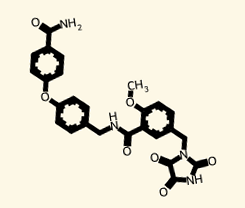 COc1ccc(CN2C(=O)NC(=O)C2=O)cc1C(=O)NCc1ccc(Oc2ccc(C(N)=O)cc2)cc1